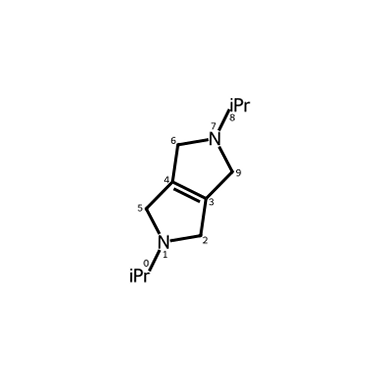 CC(C)N1CC2=C(C1)CN(C(C)C)C2